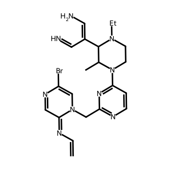 C=C/N=c1/cnc(Br)cn1Cc1nccc(N2CCN(CC)C(/C(C=N)=C/N)C2C)n1